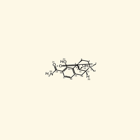 C[N+]1(C)CC[C@]23CC(=O)CC[C@@]2(O)[C@H]1Cc1ccc(C(N)=O)c(O)c13